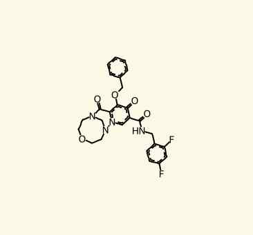 O=C(NCc1ccc(F)cc1F)c1cn2c(c(OCc3ccccc3)c1=O)C(=O)N1CCOCCN2C1